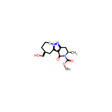 C[C@@H]1Cc2nn3c(c2C(=O)N1C(=O)OC(C)(C)C)CC(=CO)CCC3